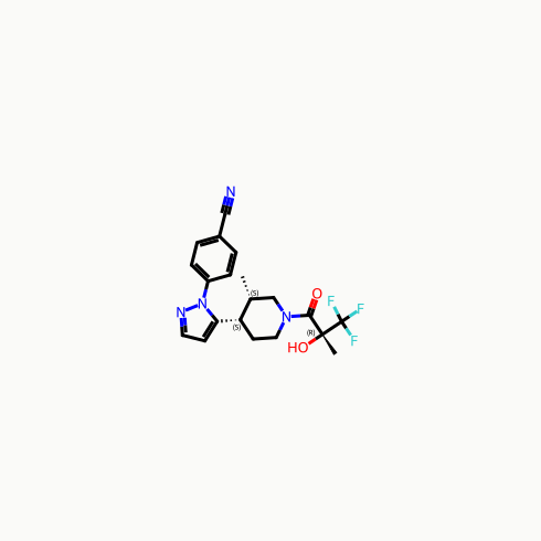 C[C@@H]1CN(C(=O)[C@@](C)(O)C(F)(F)F)CC[C@@H]1c1ccnn1-c1ccc(C#N)cc1